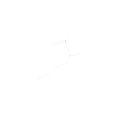 C=C(C)C(C)CC/C=C\C